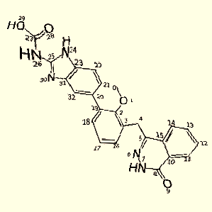 COc1c(Cc2n[nH]c(=O)c3ccccc23)cccc1-c1ccc2[nH]c(NC(=O)O)nc2c1